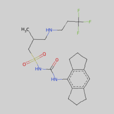 CC(CNCCC(F)(F)F)CS(=O)(=O)NC(=O)Nc1c2c(cc3c1CCC3)CCC2